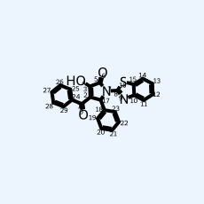 O=C(C1=C(O)C(=O)N(c2nc3ccccc3s2)C1c1ccccc1)c1ccccc1